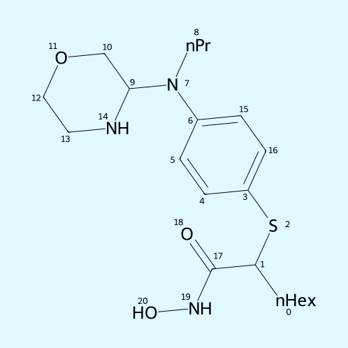 CCCCCCC(Sc1ccc(N(CCC)C2COCCN2)cc1)C(=O)NO